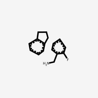 NCc1ccccc1F.c1ccc2c(c1)CCC2